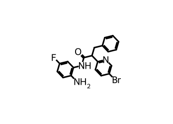 Nc1ccc(F)cc1NC(=O)C(Cc1ccccc1)c1ccc(Br)cn1